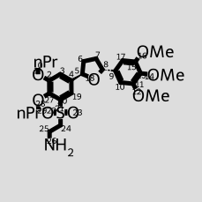 CCCOc1cc([C@H]2CC[C@H](c3cc(OC)c(OC)c(OC)c3)O2)cc(S(=O)(=O)CCN)c1OCCC